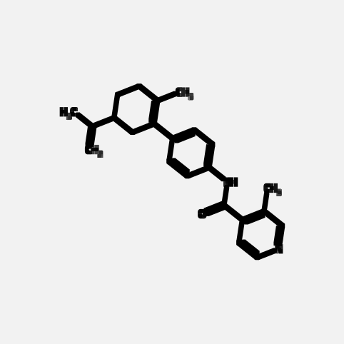 C=C(C)C1CCC(C)=C(c2ccc(NC(=O)c3ccncc3C)cc2)C1